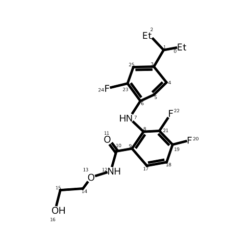 CCC(CC)c1ccc(Nc2c(C(=O)NOCCO)ccc(F)c2F)c(F)c1